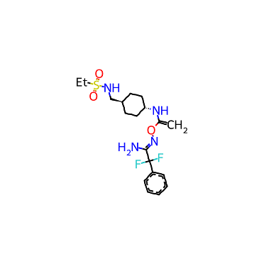 C=C(N[C@H]1CC[C@H](CNS(=O)(=O)CC)CC1)O/N=C(\N)C(F)(F)c1ccccc1